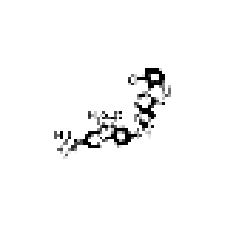 CN(C)C1CCN(c2ccc(Nc3ncc4c(n3)SCN(c3c(Cl)cccc3Cl)C4=O)cc2S(C)(=O)=O)CC1